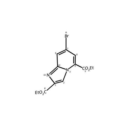 CCOC(=O)c1cn2c(C(=O)OCC)cc(Br)cc2n1